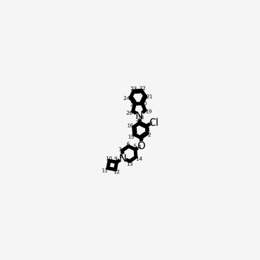 Clc1cc(OC2CCN(C3CCC3)CC2)ccc1N1Cc2ccccc2C1